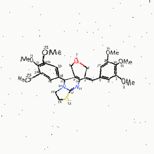 COc1cc(C=C2COCC3=C2N=C2SCCN2C3c2cc(OC)c(OC)c(OC)c2)cc(OC)c1OC